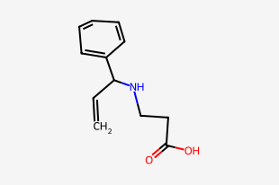 C=CC(NCCC(=O)O)c1ccccc1